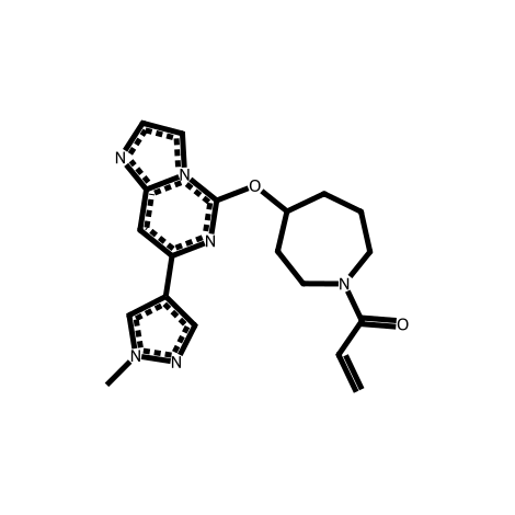 C=CC(=O)N1CCCC(Oc2nc(-c3cnn(C)c3)cc3nccn23)CC1